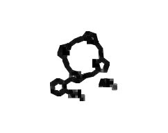 Nc1ccccc1C1=CC2=CC3=NC(=CC4=NC(=CC5=NC(=CC1=N2)C=C5)C=C4)C=C3.[AlH3]